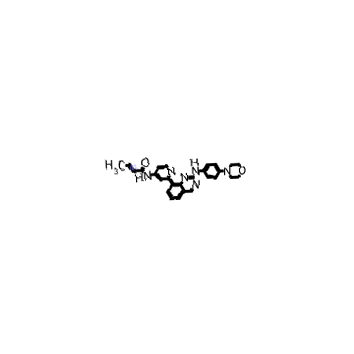 C/C=C/C(=O)Nc1ccnc(-c2cccc3cnc(Nc4ccc(N5CCOCC5)cc4)nc23)c1